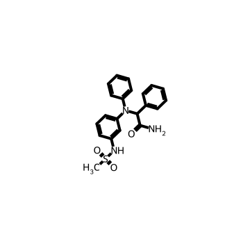 CS(=O)(=O)Nc1cccc(N(c2ccccc2)C(C(N)=O)c2ccccc2)c1